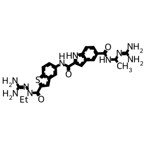 CCN(N=C(N)N)C(=O)c1cc2cc(NC(=O)c3cc4cc(C(=O)NC(C)N=C(N)N)ccc4[nH]3)ccc2s1